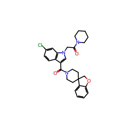 O=C(Cn1cc(C(=O)N2CCC3(CC2)COc2ccccc23)c2ccc(Cl)cc21)N1CCCCC1